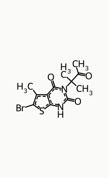 CC(=O)C(C)(C)n1c(=O)[nH]c2sc(Br)c(C)c2c1=O